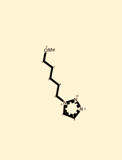 COCCCCCn1ccnn1